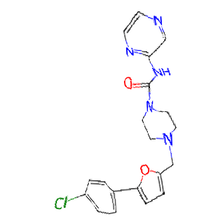 O=C(Nc1cnccn1)N1CCN(Cc2ccc(-c3ccc(Cl)cc3)o2)CC1